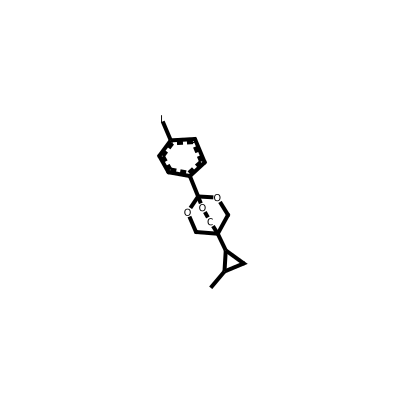 CC1CC1C12COC(c3ccc(I)cc3)(OC1)OC2